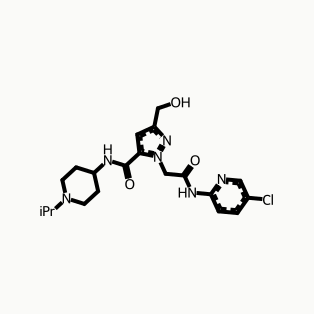 CC(C)N1CCC(NC(=O)c2cc(CO)nn2CC(=O)Nc2ccc(Cl)cn2)CC1